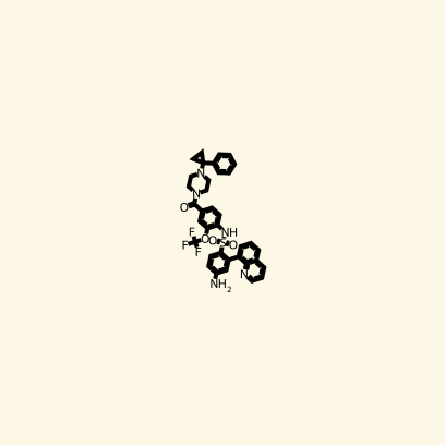 Nc1ccc(S(=O)(=O)Nc2ccc(C(=O)N3CCN(C4(c5ccccc5)CC4)CC3)cc2OC(F)(F)F)c(-c2cccc3cccnc23)c1